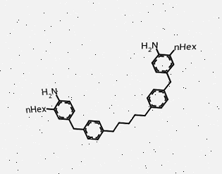 CCCCCCc1cc(Cc2ccc(CCCCCc3ccc(Cc4ccc(N)c(CCCCCC)c4)cc3)cc2)ccc1N